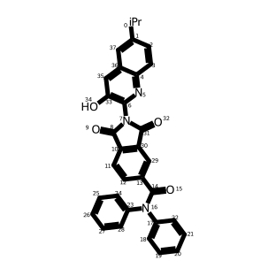 CC(C)c1ccc2nc(N3C(=O)c4ccc(C(=O)N(c5ccccc5)c5ccccc5)cc4C3=O)c(O)cc2c1